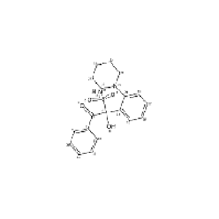 NS(=O)(=O)C(O)(C(=O)c1ccccc1)c1ccccc1N1CCCCC1